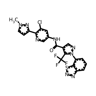 Cn1ccc(-c2ncc(NC(=O)c3cnn(-c4cccc5nnsc45)c3C(F)(F)F)cc2Cl)n1